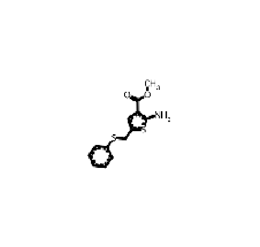 COC(=O)c1cc(CSc2ccccc2)sc1N